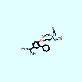 CCCCCCC(CCC)c1ccc(OCCC[Si](N=C=S)(N=C=S)N=C=S)c(C2CCCCC2)c1